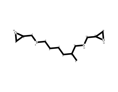 CC(CCCCSCC1CO1)CSCC1CO1